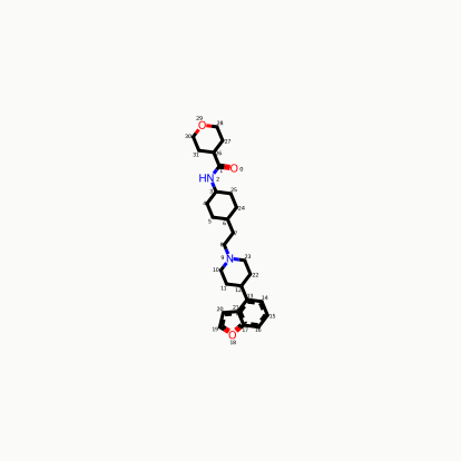 O=C(NC1CCC(CCN2CCC(c3cccc4occc34)CC2)CC1)C1CCOCC1